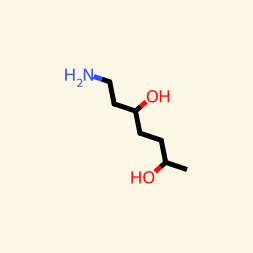 CC(O)CCC(O)CCN